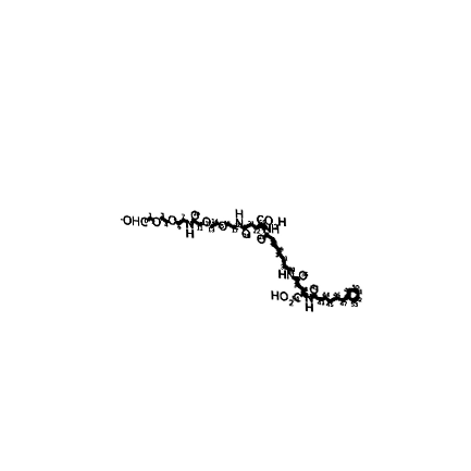 O=[C]COCCOCCNC(=O)COCCOCCNC(=O)CC[C@H](NC(=O)CCCCCCCNC(=O)CC[C@H](NC(=O)CCCCCc1ccccc1)C(=O)O)C(=O)O